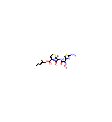 CC/C=C(\C)COC(=O)C1=CCS[C@@H]2C(NC(=O)/C(=N\OC)c3csc(N)n3)C(=O)N12